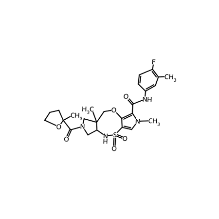 Cc1cc(NC(=O)c2c3c(cn2C)S(=O)(=O)NC2CN(C(=O)C4(C)CCCO4)CC2(C)CO3)ccc1F